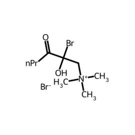 CCCC(=O)C(O)(Br)C[N+](C)(C)C.[Br-]